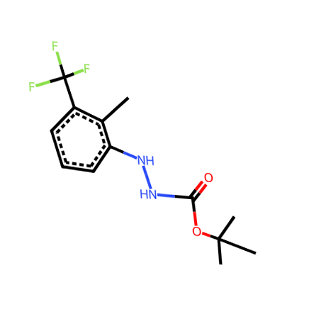 Cc1c(NNC(=O)OC(C)(C)C)cccc1C(F)(F)F